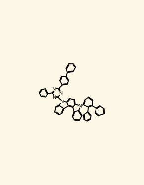 c1ccc(-c2ccc(-c3nc(-c4ccccc4)nc(-n4c5ccccc5c5c6c7ccccc7n(-c7cccc(-c8ccccc8)c7-c7ccccc7)c6ccc54)n3)cc2)cc1